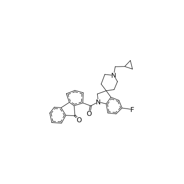 O=C1c2ccccc2-c2cccc(C(=O)N3CC4(CCN(CC5CC5)CC4)c4cc(F)ccc43)c21